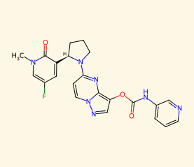 Cn1cc(F)cc([C@H]2CCCN2c2ccn3ncc(OC(=O)Nc4cccnc4)c3n2)c1=O